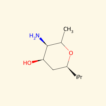 CC(C)[C@H]1C[C@@H](O)[C@@H](N)C(C)O1